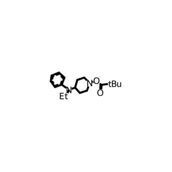 CCN(c1ccccc1)C1CCN(OC(=O)C(C)(C)C)CC1